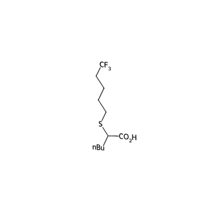 CCCCC(SCCCCC(F)(F)F)C(=O)O